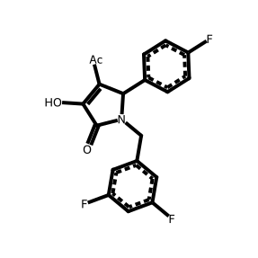 CC(=O)C1=C(O)C(=O)N(Cc2cc(F)cc(F)c2)C1c1ccc(F)cc1